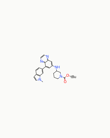 Cn1ccc2ccc(-c3cc(NC4CCCN(C(=O)OC(C)(C)C)C4)cc4nccnc34)cc21